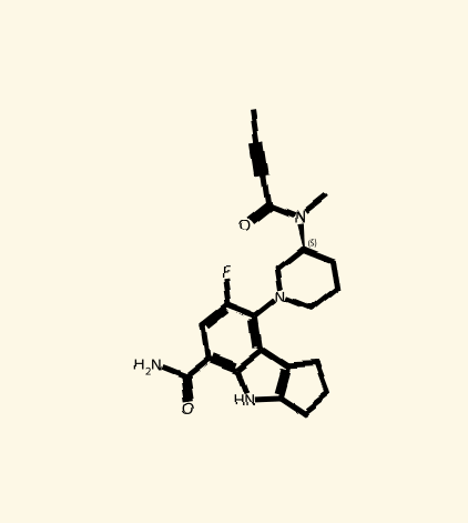 CC#CC(=O)N(C)[C@H]1CCCN(c2c(F)cc(C(N)=O)c3[nH]c4c(c23)CCC4)C1